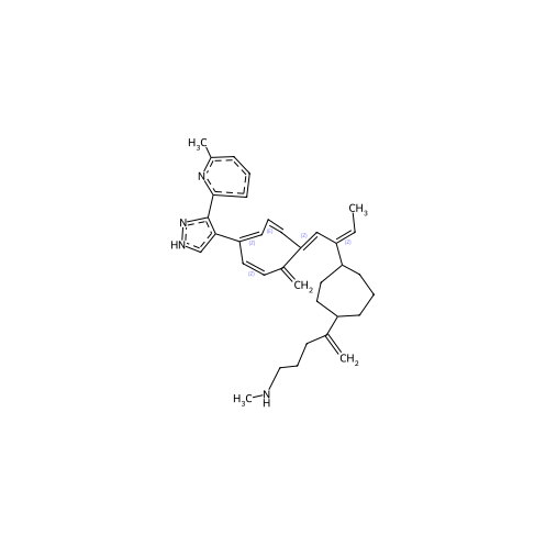 C=C1\C=C/C(c2c[nH]nc2-c2cccc(C)n2)=C/C=C/C1=C/C(=C\C)C1CCCC(C(=C)CCCNC)CC1